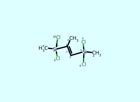 C/C(=C\[Si](C)(Cl)Cl)[Si](C)(Cl)Cl